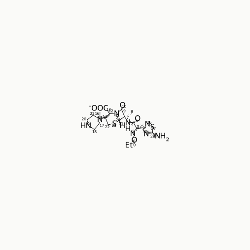 CCON=C(C(=O)N[C@]1(C)C(=O)N2C(C(=O)[O-])=C([N+]3(C)CCNCC3)CS[C@H]21)c1nsc(N)n1